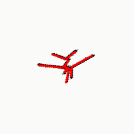 CCCCCCCCCCC#CC1=C(c2cc(CCCCCCCC)cc(CCCCCCCCCCCCCCCCCCCCCCCCC)c2)[N+](=[N-])C(c2cc(CCCCCCCC)cc(CCCCCCCCCCCCCCCCCCCCCCCCC)c2)=C1CCCCC.CCCCCCCCCCCC[CH2][Ni][CH2]CCCCCCCCCCCC